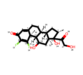 C[C@H]1C[C@H]2[C@@H]3CCC4=CC(=O)C(F)=C(F)[C@]4(C)[C@H]3C(O)C[C@]2(C)[C@@]1(O)C(=O)CO